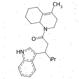 CC1=C2CCCCC2N(C(=O)CC(c2c[nH]c3ccccc23)C(C)C)CC1